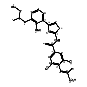 COc1c(OC(C)CC(C)(C)C)cccc1-c1csc(NC(=O)c2cc(Cl)c(C=C(C)C(=O)O)c(Cl)c2)n1